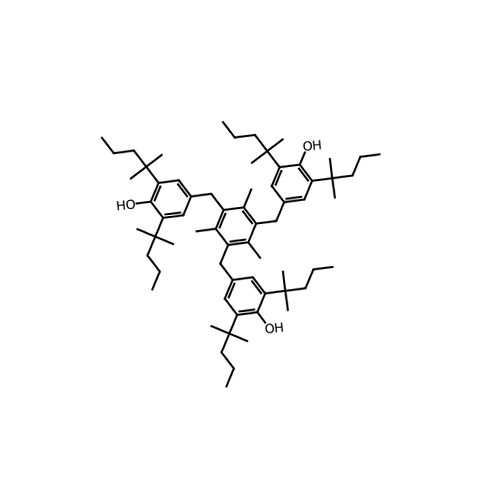 CCCC(C)(C)c1cc(Cc2c(C)c(Cc3cc(C(C)(C)CCC)c(O)c(C(C)(C)CCC)c3)c(C)c(Cc3cc(C(C)(C)CCC)c(O)c(C(C)(C)CCC)c3)c2C)cc(C(C)(C)CCC)c1O